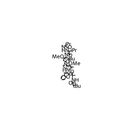 CC[C@H](C)[C@@H]([C@@H](CC(=O)N1CCC[C@H]1[C@H](OC)[C@@H](C)C(=O)N[C@H](C(=O)OC(C)CNC(=O)OC(C)(C)C)[C@@H](C)c1ccccc1)OC)N(C)C(=O)[C@@H](NC(=O)[C@H](C(C)C)N(C)C)C(C)C